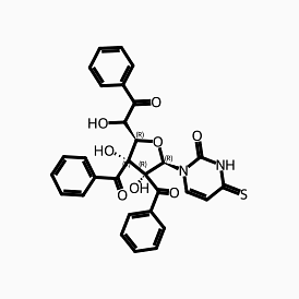 O=C(c1ccccc1)C(O)[C@H]1O[C@@H](n2ccc(=S)[nH]c2=O)[C@@](O)(C(=O)c2ccccc2)[C@@]1(O)C(=O)c1ccccc1